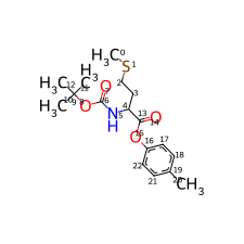 CSCCC(NC(=O)OC(C)(C)C)C(=O)Oc1ccc(C)cc1